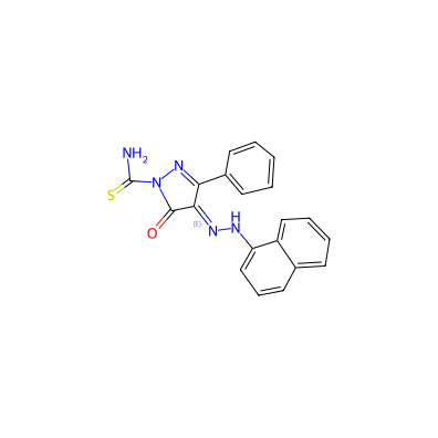 NC(=S)N1N=C(c2ccccc2)/C(=N\Nc2cccc3ccccc23)C1=O